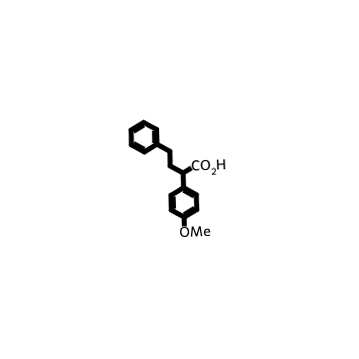 COc1ccc(C(CCc2ccccc2)C(=O)O)cc1